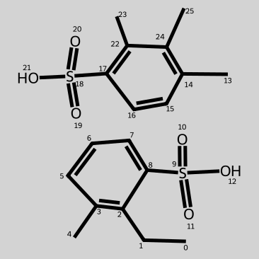 CCc1c(C)cccc1S(=O)(=O)O.Cc1ccc(S(=O)(=O)O)c(C)c1C